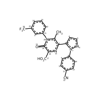 Cc1c(-c2ccnn2-c2ccc(C#N)cc2)nc(C(=O)O)c(=O)n1-c1cccc(C(F)(F)F)c1